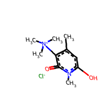 Cc1cc(O)n(C)c(=O)c1[N+](C)(C)C.[Cl-]